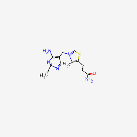 Cc1ncc(C[n+]2csc(CCC(N)=O)c2C)c(N)n1